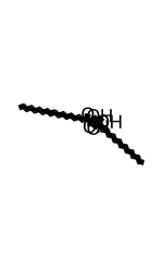 CCCCCCCCC=CCCCCCCCC(=O)C(O)C(O)(CO)C(=O)CCCCCCCCCCCCCCC